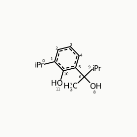 CC(C)c1cccc(C(C)(O)C(C)C)c1O